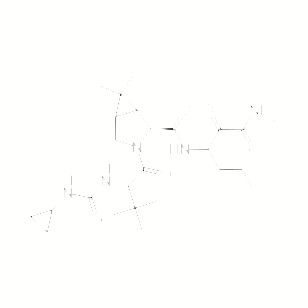 CCCC(NC(=O)[C@@H]1C2C(CN1C(=O)[C@@H](NC(=O)NC1CC1)C(C)(C)C)C2(C)C)C(=O)C(N)=O